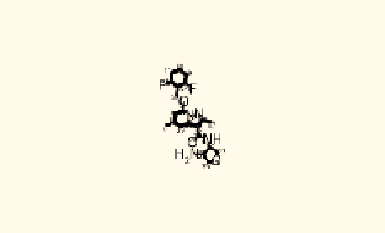 Cc1cc(OCc2c(F)cccc2F)n2nc(C)c(C(=O)NC3COCC3N)c2c1